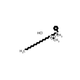 CCCCCCCCCCCCCCCCCCOCC(CN(C)Cc1ccccc1)OC(C)=O.Cl